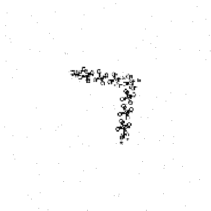 O=S(=O)([O-])[O-].O=S(=O)([O-])[O-].O=S(=O)([O-])[O-].O=S(=O)([O-])[O-].O=S(=O)([O-])[O-].O=S(=O)([O-])[O-].O=S(=O)([O-])[O-].[Al+3].[Al+3].[Ti+4].[Ti+4]